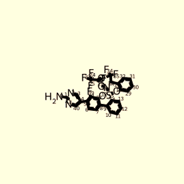 Nc1ncc(-c2ccc(-c3ccccc3S(=O)(=O)N(OC(=O)C(F)(F)F)[C@@H](c3ccccc3)C(F)(F)F)cc2F)cn1